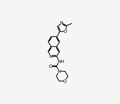 Cc1ncc(-c2ccc3cnc(NC(=O)N4CCOCC4)cc3c2)o1